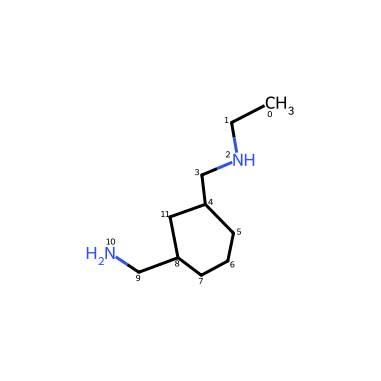 CCNCC1CCCC(CN)C1